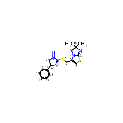 CC1(C)CN2C(CSC3=NC(c4ccccc4)CN3)=CSC2=N1